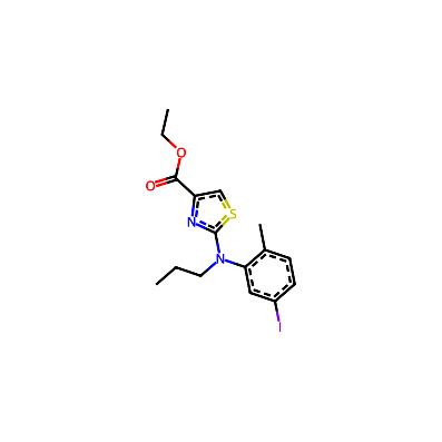 CCCN(c1nc(C(=O)OCC)cs1)c1cc(I)ccc1C